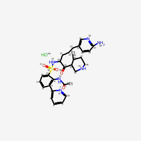 CCC(=O)Nc1c(-c2ccccn2)cccc1S(=O)(=O)NC(CCCc1ccc(N)nc1)C(=O)C1CNCCC1CC.Cl